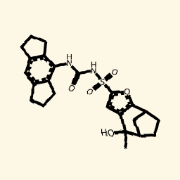 CC1(O)c2cc(S(=O)(=O)NC(=O)Nc3c4c(cc5c3CCC5)CCC4)oc2C2CCC1C2